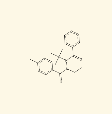 CCN(C(=O)c1ccc(C)cc1)N(C(=O)c1ccccc1)C(C)(C)C